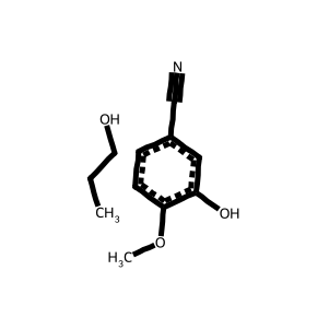 CCCO.COc1ccc(C#N)cc1O